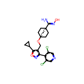 N/C(=N\O)C12CCC(OCc3c(-c4c(Cl)cncc4Cl)noc3C3CC3)(CC1)CC2